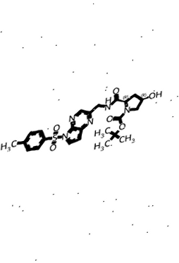 Cc1ccc(S(=O)(=O)n2ccc3nc(CNC(=O)[C@H]4C[C@@H](O)CN4C(=O)OC(C)(C)C)cnc32)cc1